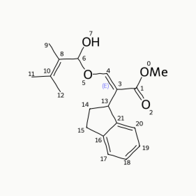 COC(=O)/C(=C/OC(O)C(C)=C(C)C)C1CCc2ccccc21